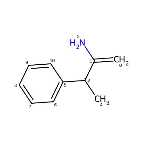 C=C(N)[C](C)c1ccccc1